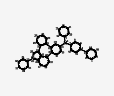 c1ccc(-c2ccc(N(c3ccccc3)c3ccc4c(c3)-c3ccccc3-c3cn(-c5ccccc5)c5cccc-4c35)cc2)cc1